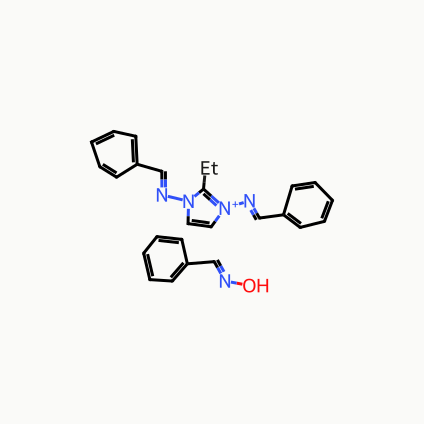 CCc1n(N=Cc2ccccc2)cc[n+]1N=Cc1ccccc1.ON=Cc1ccccc1